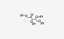 CC(C)OCC(=O)C(OC(C)C)C(COC(C)C)OC(C)C